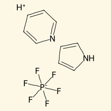 F[P-](F)(F)(F)(F)F.[H+].c1cc[nH]c1.c1ccncc1